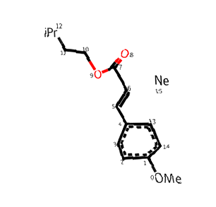 COc1ccc(C=CC(=O)OCCC(C)C)cc1.[Ne]